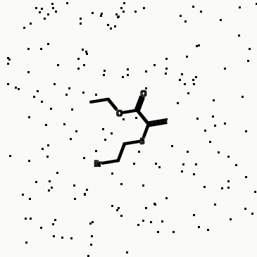 C=C(SCCBr)C(=O)OCC